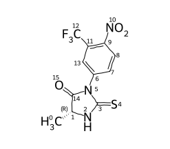 C[C@H]1NC(=S)N(c2ccc([N+](=O)[O-])c(C(F)(F)F)c2)C1=O